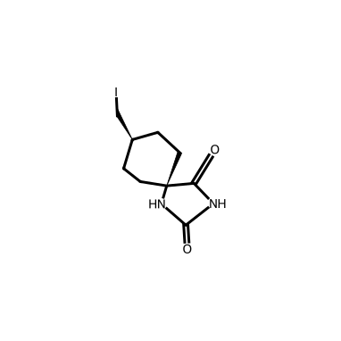 O=C1NC(=O)[C@]2(CC[C@H](CI)CC2)N1